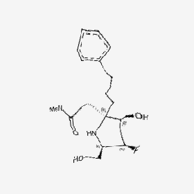 CNC(=O)C[C@@]1(CCCc2ccccc2)N[C@H](CO)[C@H](F)[C@@H]1O